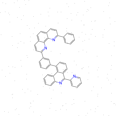 c1ccc(-c2ccc3ccc4ccc(-c5cccc(-c6cccc7c(-c8ccccn8)nc8ccccc8c67)c5)nc4c3n2)cc1